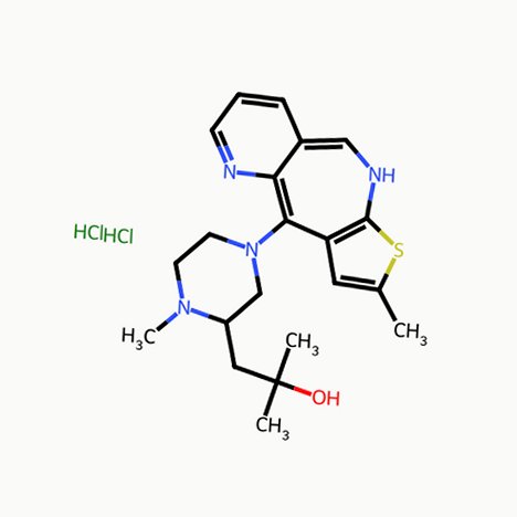 Cc1cc2c(s1)NC=c1cccnc1=C2N1CCN(C)C(CC(C)(C)O)C1.Cl.Cl